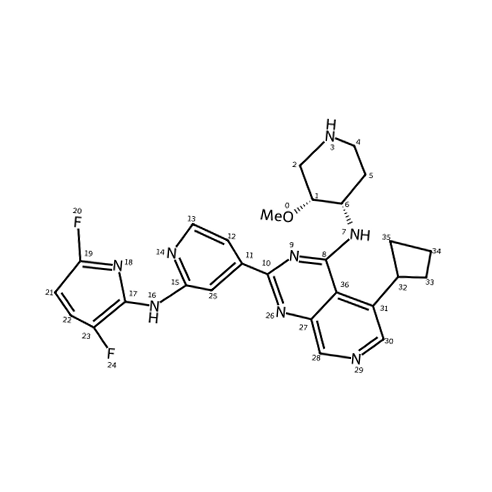 CO[C@@H]1CNCC[C@@H]1Nc1nc(-c2ccnc(Nc3nc(F)ccc3F)c2)nc2cncc(C3CCC3)c12